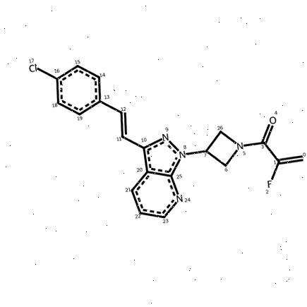 C=C(F)C(=O)N1CC(n2nc(C=Cc3ccc(Cl)cc3)c3cccnc32)C1